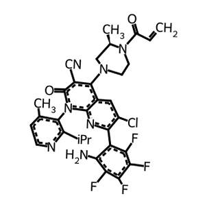 C=CC(=O)N1CCN(c2c(C#N)c(=O)n(-c3c(C)ccnc3C(C)C)c3nc(-c4c(N)c(F)c(F)c(F)c4F)c(Cl)cc23)C[C@H]1C